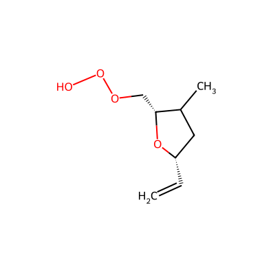 C=C[C@H]1CC(C)[C@@H](COOO)O1